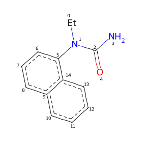 CCN(C(N)=O)c1cccc2ccccc12